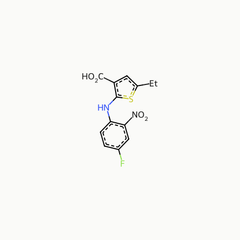 CCc1cc(C(=O)O)c(Nc2ccc(F)cc2[N+](=O)[O-])s1